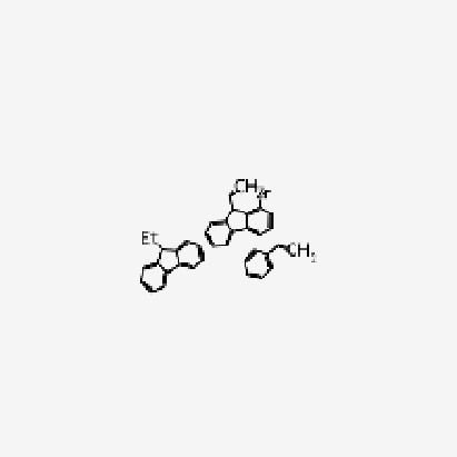 C=CC1c2ccccc2-c2ccc[c]([Zr])c21.C=Cc1ccccc1.CCC1c2ccccc2-c2ccccc21